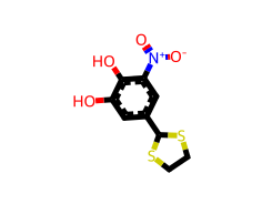 O=[N+]([O-])c1cc(C2SCCS2)cc(O)c1O